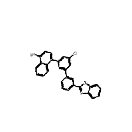 Clc1cc(-c2cccc(-c3nc4ccccc4s3)c2)cc(-c2ccc(Br)c3ccccc23)c1